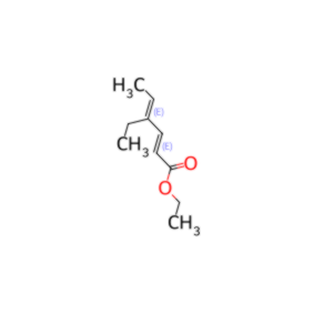 C/C=C(/C=C/C(=O)OCC)CC